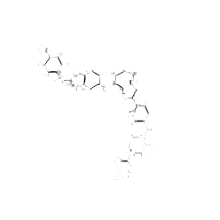 CC(C)(C)OC(=O)N1CCN(Cc2ccc(-c3cc4nccc(Oc5ccc6oc(Nc7ccc(Cl)cc7)nc6c5)c4s3)nc2)CC1